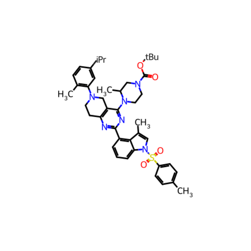 Cc1ccc(S(=O)(=O)n2cc(C)c3c(-c4nc5c(c(N6CCN(C(=O)OC(C)(C)C)CC6C)n4)CN(c4cc(C(C)C)ccc4C)CC5)cccc32)cc1